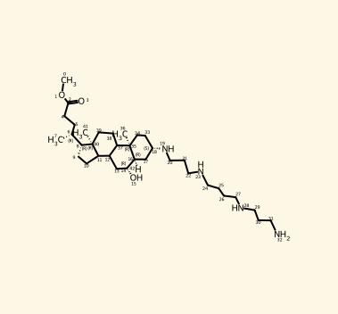 COC(=O)CC[C@@H](C)[C@H]1CCC2C3C[C@@H](O)[C@@H]4C[C@@H](NCCCNCCCCNCCCN)CC[C@]4(C)C3CC[C@@]21C